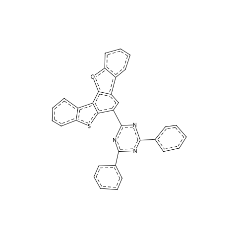 c1ccc(-c2nc(-c3ccccc3)nc(-c3cc4c5ccccc5oc4c4c3sc3ccccc34)n2)cc1